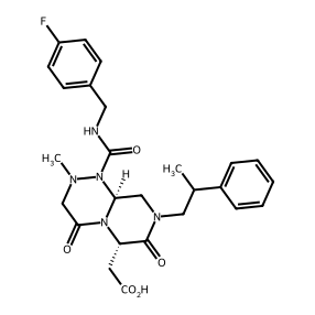 CC(CN1C[C@H]2N(C(=O)CN(C)N2C(=O)NCc2ccc(F)cc2)[C@@H](CC(=O)O)C1=O)c1ccccc1